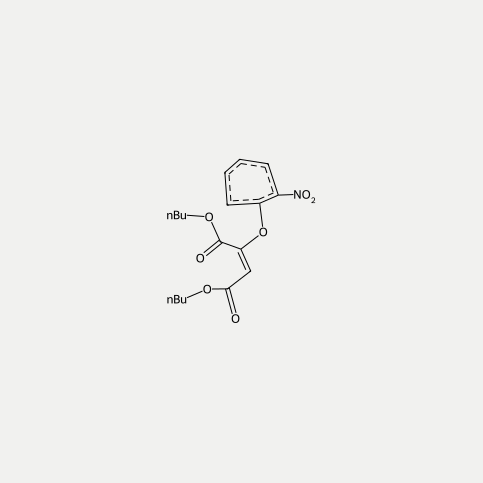 CCCCOC(=O)C=C(Oc1ccccc1[N+](=O)[O-])C(=O)OCCCC